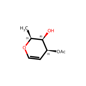 CC(=O)O[C@H]1C=CO[C@@H](C)[C@H]1O